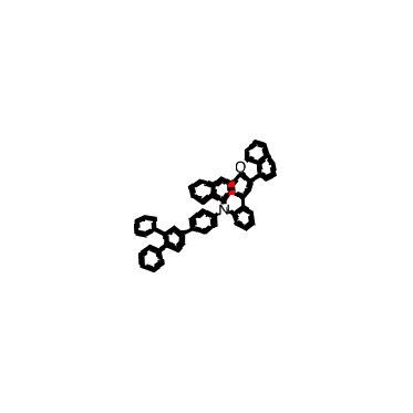 c1ccc(-c2ccc(-c3ccc(N(c4ccccc4-c4ccc5c(c4)-c4cccc6cccc(c46)O5)c4cccc5ccccc45)cc3)cc2-c2ccccc2)cc1